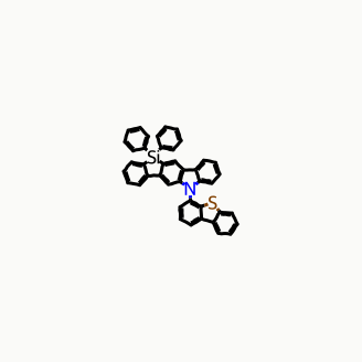 c1ccc([Si]2(c3ccccc3)c3ccccc3-c3cc4c(cc32)c2ccccc2n4-c2cccc3c2sc2ccccc23)cc1